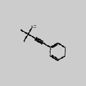 CC(C)(C#CC1=CCCC=C1)N=O